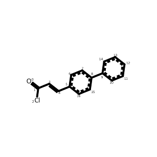 O=C(Cl)C=Cc1ccc(-c2ccccc2)cc1